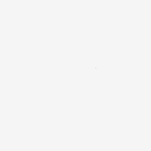 C=CCCCCC#[C][Mg][Cl]